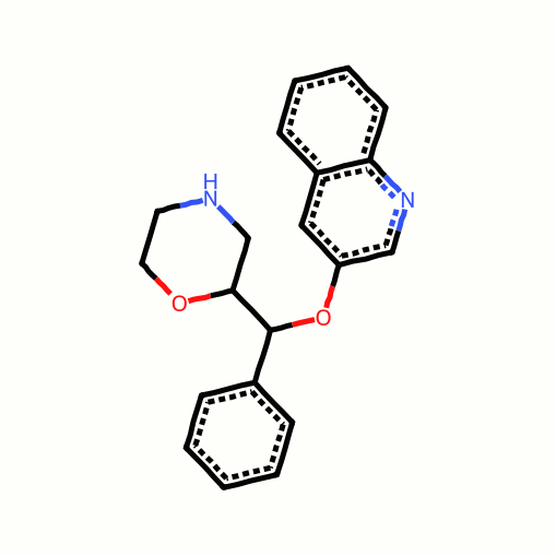 c1ccc(C(Oc2cnc3ccccc3c2)C2CNCCO2)cc1